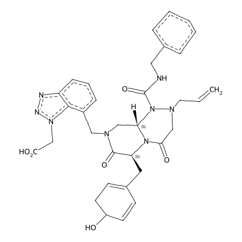 C=CCN1CC(=O)N2[C@@H](CC3=CCC(O)C=C3)C(=O)N(Cc3cccc4nnn(CC(=O)O)c34)C[C@@H]2N1C(=O)NCc1ccccc1